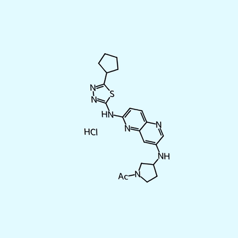 CC(=O)N1CCC(Nc2cnc3ccc(Nc4nnc(C5CCCC5)s4)nc3c2)C1.Cl